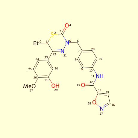 CCC1SC(=O)N(Cc2ccc(NC(=O)c3ccno3)cc2)N=C1c1ccc(OC)c(O)c1